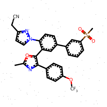 Cc1nc(-c2ccc(OC(F)(F)F)cc2)c(-c2cc(-c3cccc(S(C)(=O)=O)c3)ccc2-n2ccc(CC#N)n2)o1